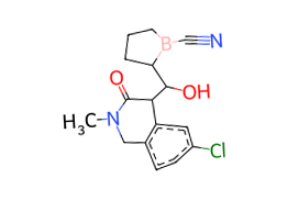 CN1Cc2ccc(Cl)cc2C(C(O)C2CCCB2C#N)C1=O